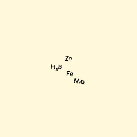 B.[Fe].[Mo].[Zn]